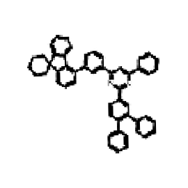 c1ccc(-c2cc(-c3cccc(-c4cccc5c4-c4ccccc4C54CCCCC4)c3)nc(-c3ccc(-c4ccccc4)c(-c4ccccc4)c3)n2)cc1